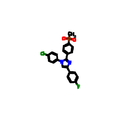 CS(=O)(=O)c1ccc(-c2nc(-c3ccc(F)cc3)cn2-c2ccc(Cl)cc2)cc1